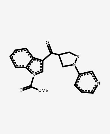 COC(=O)n1cc(C(=O)C2CSN(c3cccnc3)C2)c2ccccc21